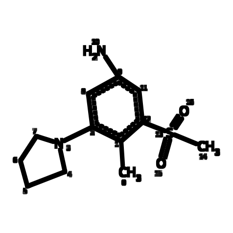 Cc1c(N2CCCC2)cc(N)cc1S(C)(=O)=O